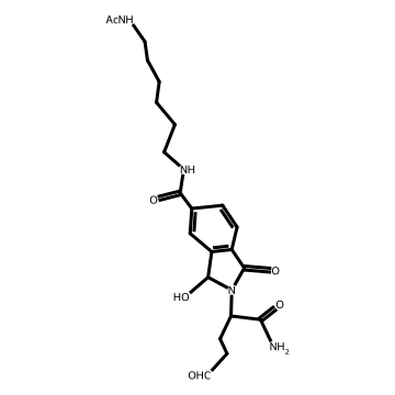 CC(=O)NCCCCCCNC(=O)c1ccc2c(c1)C(O)N(C(CCC=O)C(N)=O)C2=O